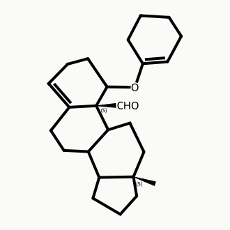 C[C@@]12CCCC1C1CCC3=CCCC(OC4=CCCCC4)[C@]3(C=O)C1CC2